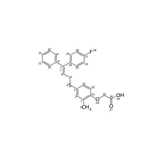 Cc1cc(SC/C=C(/c2ccccc2)c2ccc(F)cc2)ccc1OCC(=O)O